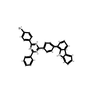 Brc1ccc(-c2nc(-c3ccccc3)nc(-c3ccc(-c4cccc5c4oc4ccccc45)cc3)n2)cc1